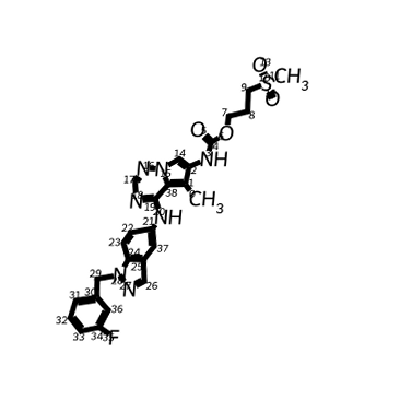 Cc1c(NC(=O)OCCCS(C)(=O)=O)cn2ncnc(Nc3ccc4c(cnn4Cc4cccc(F)c4)c3)c12